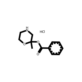 CC1(OC(=O)c2ccccc2)CNCCO1.Cl